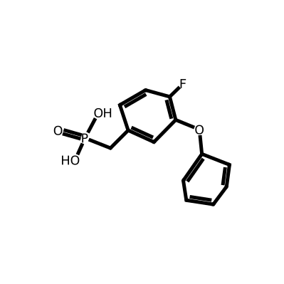 O=P(O)(O)Cc1ccc(F)c(Oc2ccccc2)c1